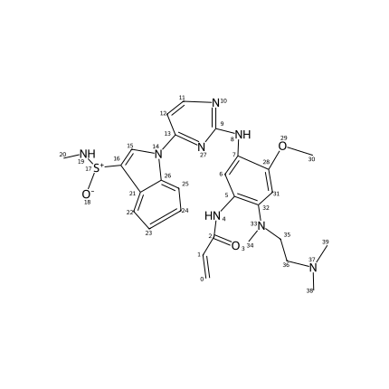 C=CC(=O)Nc1cc(Nc2nccc(-n3cc([S+]([O-])NC)c4ccccc43)n2)c(OC)cc1N(C)CCN(C)C